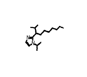 CCCCCCCC(c1nccn1C(C)C)C(C)C